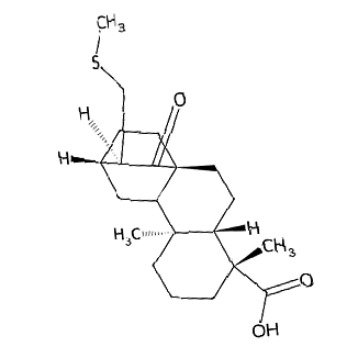 CSC[C@H]1C(=O)[C@]23CC[C@H]1CC2[C@]1(C)CCC[C@@](C)(C(=O)O)[C@H]1CC3